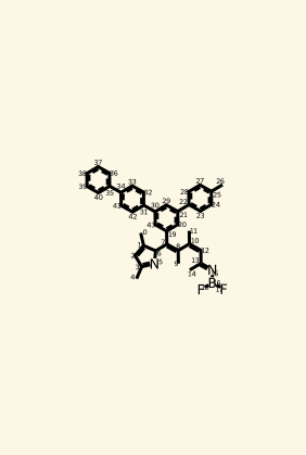 CC1=CC(C)=NC1/C(=C(C)/C(C)=C\C(C)=N\B(F)F)c1cc(-c2ccc(C)cc2)cc(-c2ccc(-c3ccccc3)cc2)c1